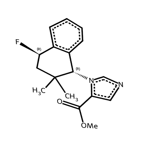 COC(=O)c1cncn1[C@H]1c2ccccc2[C@H](F)CC1(C)C